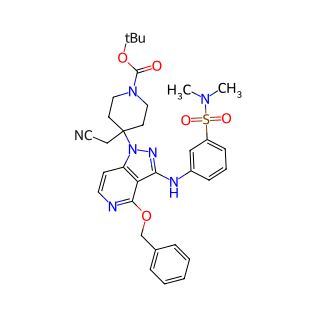 CN(C)S(=O)(=O)c1cccc(Nc2nn(C3(CC#N)CCN(C(=O)OC(C)(C)C)CC3)c3ccnc(OCc4ccccc4)c23)c1